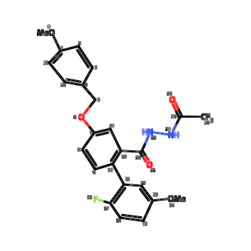 COc1ccc(COc2ccc(-c3cc(OC)ccc3F)c(C(=O)NNC(=O)C(F)(F)F)c2)cc1